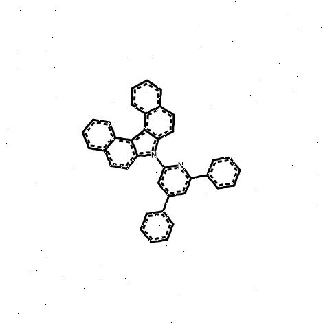 c1ccc(-c2cc(-c3ccccc3)nc(-n3c4ccc5ccccc5c4c4c5ccccc5ccc43)c2)cc1